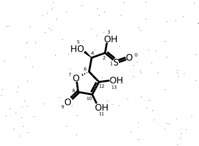 O=S=C(O)[C@H](O)[C@H]1OC(=O)C(O)=C1O